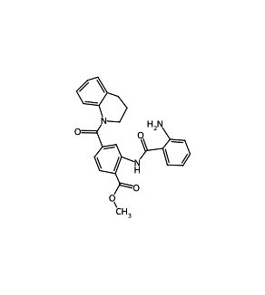 COC(=O)c1ccc(C(=O)N2CCCc3ccccc32)cc1NC(=O)c1ccccc1N